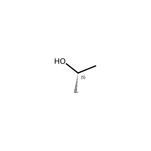 [CH2][C@@H](C)O